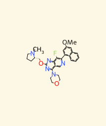 COc1cc(-c2ncc3c(N4CCOCC4)nc(OC[C@@H]4CCCN4C)nc3c2F)c2ccccc2c1